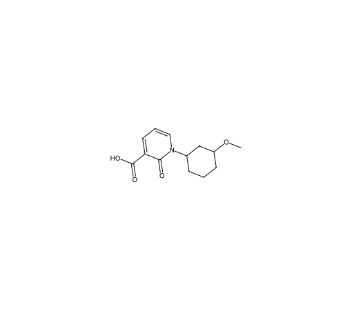 COC1CCCC(n2cccc(C(=O)O)c2=O)C1